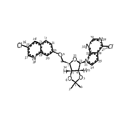 CC1(C)O[C@@H]2[C@H](O1)[C@@H](COc1ccc3cc(Cl)cnc3c1)O[C@H]2n1ccc2c(Cl)ncnc21